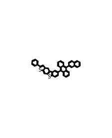 C1=C(c2ccccc2)SC2=Cc3sc4ccc(-c5c6ccccc6c(-c6ccc7ccccc7c6)c6ccccc56)cc4c3CC12